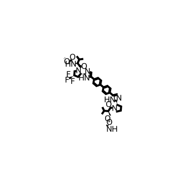 COC(=O)N[C@H](C(=O)N1C[C@@H](C(F)(F)F)C[C@H]1c1ncc(-c2ccc(-c3ccc(-c4cnc([C@@H]5CCCN5C(=O)[C@@H](COOC=N)C(C)C)[nH]4)cc3)cc2)[nH]1)C(C)C